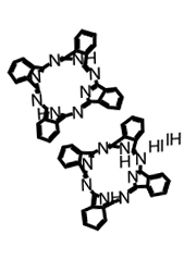 I.I.c1ccc2c(c1)-c1nc-2nc2[nH]c(nc3nc(nc4[nH]c(n1)c1ccccc41)-c1ccccc1-3)c1ccccc21.c1ccc2c(c1)-c1nc-2nc2[nH]c(nc3nc(nc4[nH]c(n1)c1ccccc41)-c1ccccc1-3)c1ccccc21